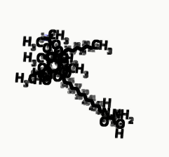 C/C=C(/C)C(=O)O[C@H]1C(C)=C2[C@H]([C@@H]1OC(=O)CCCCCCC)[C@@](C)(OC(C)=O)C[C@H](OC(=O)CCCCCCCCCCCNC(=O)[C@H](N)CO)[C@](O)(CO)[C@H]2OC(=O)CC